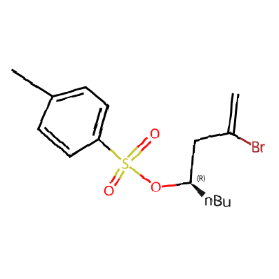 C=C(Br)C[C@@H](CCCC)OS(=O)(=O)c1ccc(C)cc1